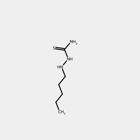 CCCCCNNC(N)=S